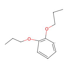 CCCOc1[c]cccc1OCCC